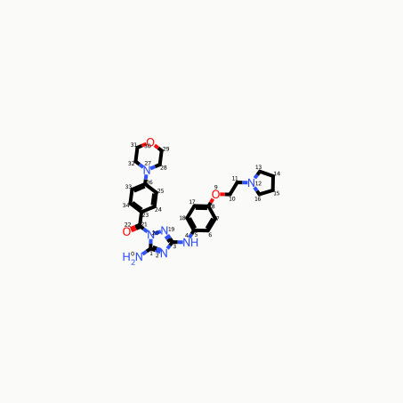 Nc1nc(Nc2ccc(OCCN3CCCC3)cc2)nn1C(=O)c1ccc(N2CCOCC2)cc1